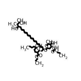 C=CCOC(=O)N[C@@H]1CC(OC(/C=C/C=C/C=C/C=C/C=C/C=C/C=C/CC(O)[C@@H](C)[C@H](C)O)C[C@@H]2OC(O)(CCCC)CCC2C(=O)OCC=C)O[C@H](C)C1O